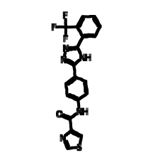 O=C(Nc1ccc(-c2nnc(-c3ccccc3C(F)(F)F)[nH]2)cc1)c1cscn1